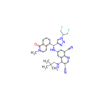 Cn1ccc2c([C@H](Nc3cc(C#N)c4ncc(C#N)c(NCC(C)(C)C)c4c3)c3cn(C(CF)CF)nn3)cccc2c1=O